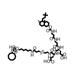 C[C@@H]1CCC2CC(OC(=O)NCCC(=O)NCCC(=O)N[C@@H](CCC(=O)O)C(=O)N[C@@H](CCC(=O)O)C(=O)NCCSSCCC(=O)NCCCCCCOP(=O)(O)OC3CCCCCCCC3)CCC2(C)C1CCC(C)(C)C